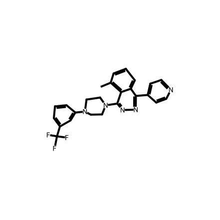 Cc1cccc2c(-c3ccncc3)nnc(N3CCN(c4cccc(C(F)(F)F)c4)CC3)c12